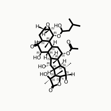 CC(=O)O[C@H]1C[C@H]2[C@H]([C@@H]3[C@@H](O)[C@@H]4[C@H]([C@H](C)[C@@H]5O[C@@]56OC(=O)[C@@](C)(O)[C@]46C)[C@]31C)[C@@H](O)C(=O)[C@H]1C[C@@H]3O[C@@H]3[C@H](OC(O)CC(C)C)[C@@]12C